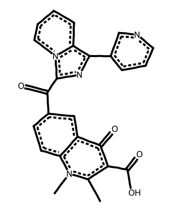 Cc1c(C(=O)O)c(=O)c2cc(C(=O)c3nc(-c4cccnc4)c4ccccn34)ccc2n1C